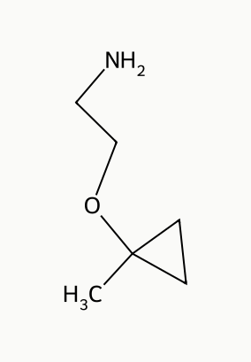 CC1(OCCN)CC1